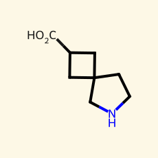 O=C(O)C1CC2(CCNC2)C1